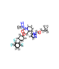 CCNC(=O)N1CCCC(c2ccnn2COCC[Si](C)(C)C)C1CO[C@H]1CC[C@@H](c2c(F)ccc(F)c2F)CC1